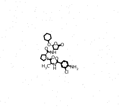 C[C@H](NC(=O)c1ccc(N)c(Cl)c1)C(=O)N1CCC[C@H]1C(=O)N[C@H]1CC(=O)O[C@H]1OC1CCCCC1